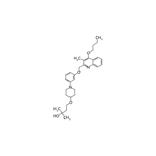 CCCCOc1c(C)c(COc2cccc(N3CCC(OCCC(C)(C)O)CC3)c2)nc2ccccc12